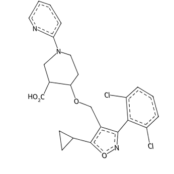 O=C(O)C1CN(c2ccccn2)CCC1OCc1c(-c2c(Cl)cccc2Cl)noc1C1CC1